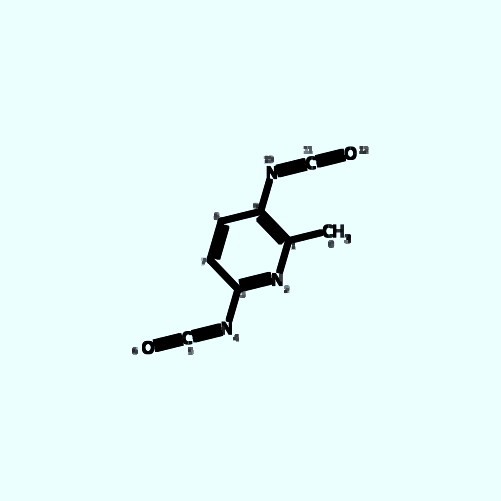 Cc1nc(N=C=O)ccc1N=C=O